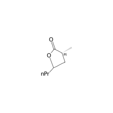 CCCC1C[C@@H](C)C(=O)O1